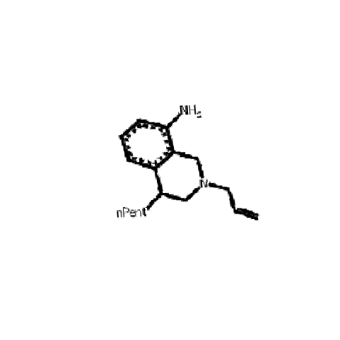 C=CCN1Cc2c(N)cccc2C(CCCCC)C1